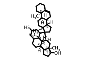 C#CC1(C2CC(S)CC3CC[C@@H]4[C@@H](CC[C@]5(C)C(O)CC[C@@H]45)[C@]32C)CC[C@H]2[C@@H]3CC=C4CCCC[C@]4(C)[C@@H]3CC[C@@]21C